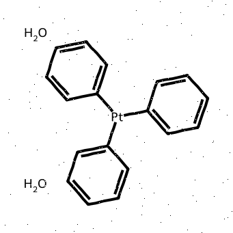 O.O.c1cc[c]([Pt]([c]2ccccc2)[c]2ccccc2)cc1